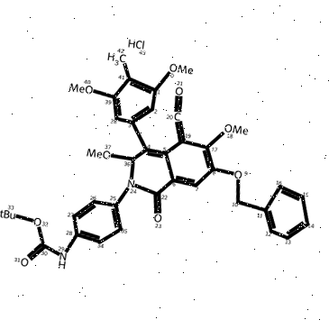 COc1cc(C2=c3c(cc(OCc4ccccc4)c(OC)c3=C=O)C(=O)N(c3ccc(NC(=O)OC(C)(C)C)cc3)C2OC)cc(OC)c1C.Cl